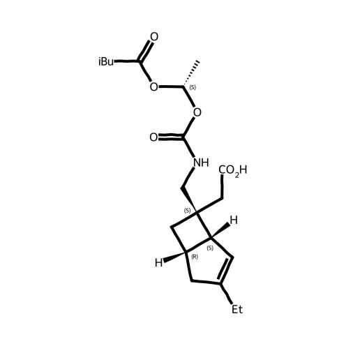 CCC1=C[C@@H]2[C@H](C1)C[C@]2(CNC(=O)O[C@@H](C)OC(=O)C(C)CC)CC(=O)O